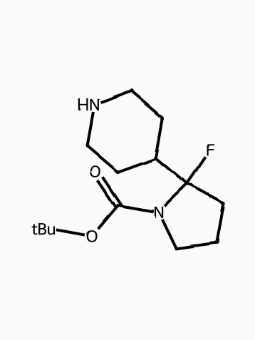 CC(C)(C)OC(=O)N1CCCC1(F)C1CCNCC1